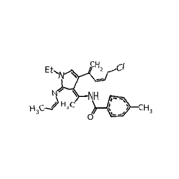 C=C(/C=C\CCl)C1=CN(CC)C(=N/C=C\C)/C1=C(\C)NC(=O)c1ccc(C)cc1